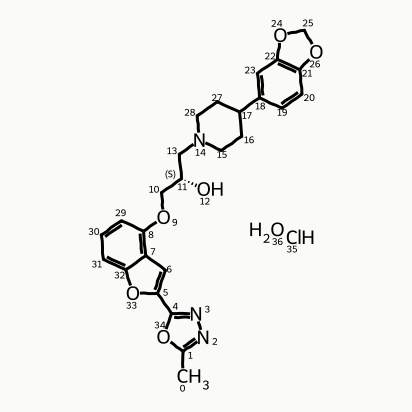 Cc1nnc(-c2cc3c(OC[C@@H](O)CN4CCC(c5ccc6c(c5)OCO6)CC4)cccc3o2)o1.Cl.O